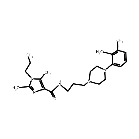 CCCn1c(C)nc(C(=O)NCCCN2CCN(c3cccc(C)c3C)CC2)c1C